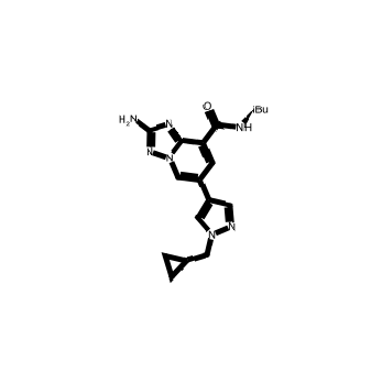 CC[C@H](C)NC(=O)c1cc(-c2cnn(CC3CC3)c2)cn2nc(N)nc12